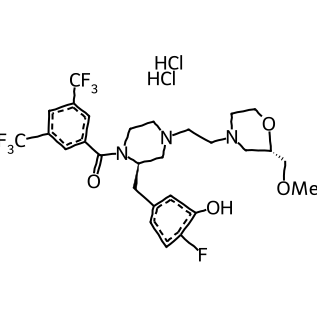 COC[C@@H]1CN(CCN2CCN(C(=O)c3cc(C(F)(F)F)cc(C(F)(F)F)c3)[C@H](Cc3ccc(F)c(O)c3)C2)CCO1.Cl.Cl